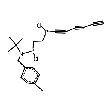 C#CC#CC#CP(Cl)CCP(Cl)N(Cc1ccc(C)cc1)C(C)(C)C